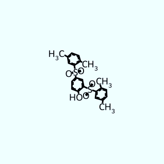 Cc1ccc(C)c(S(=O)(=O)c2ccc(O)c(S(=O)(=O)c3cc(C)ccc3C)c2)c1